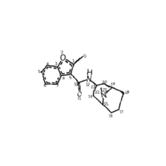 Cc1oc2ccccc2c1C(=O)NC1CC2CCCC(C1)N2C